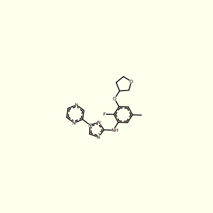 Cc1cc(Nc2ncn(-c3cnccn3)n2)c(F)c(OC2CCOC2)c1